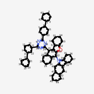 c1ccc(-c2ccc(-c3nc(-c4cccc(-c5ccccc5)c4)nc(-c4c5ccccc5c(-n5c6ccccc6c6cc7ccccc7cc65)c5oc6ccccc6c45)n3)cc2)cc1